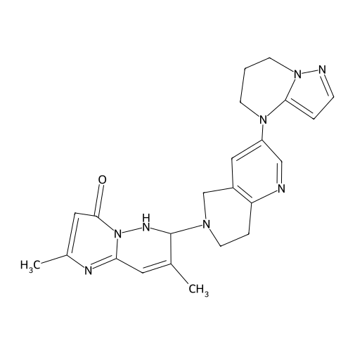 CC1=Cc2nc(C)cc(=O)n2NC1N1CCc2ncc(N3CCCn4nccc43)cc2C1